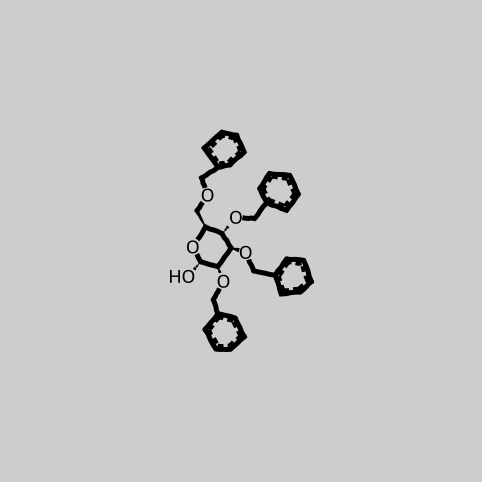 O[C@@H]1O[C@@H](COCc2ccccc2)[C@H](OCc2ccccc2)[C@@H](OCc2ccccc2)[C@@H]1OCc1ccccc1